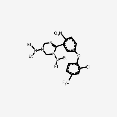 CCN(CC)N1CN=C(c2cc(Oc3ccc(C(F)(F)F)cc3Cl)ccc2[N+](=O)[O-])N(N(CC)CC)C1